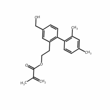 C=C(C)C(=O)OCCc1cc(CO)ccc1-c1ccc(C)cc1C